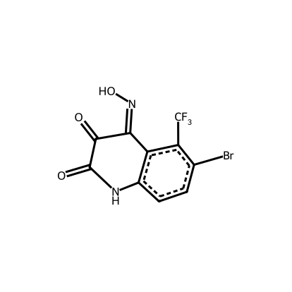 O=C1Nc2ccc(Br)c(C(F)(F)F)c2/C(=N/O)C1=O